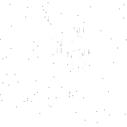 N#Cc1c(C2CC2)[nH]c2c(-c3nc4cc(C5CCN(CC6COC6)CC5)ccc4[nH]3)c(=O)[nH]cc12